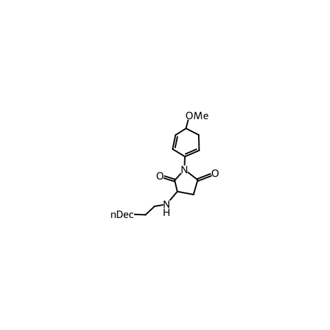 CCCCCCCCCCCCNC1CC(=O)N(C2=CCC(OC)C=C2)C1=O